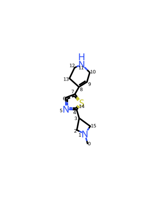 CN1CC(c2ncc(C3=CCNCC3)s2)C1